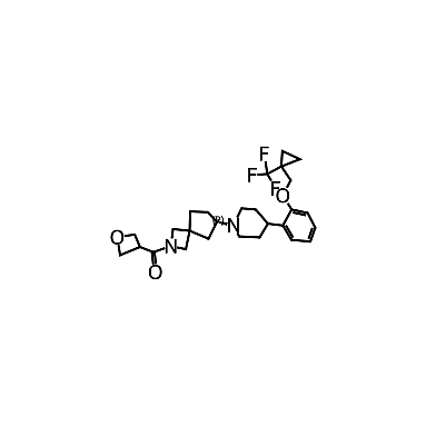 O=C(C1COC1)N1CC2(CC[C@@H](N3CCC(c4ccccc4OCC4(C(F)(F)F)CC4)CC3)C2)C1